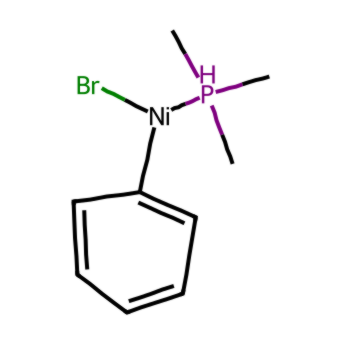 C[PH](C)(C)[Ni]([Br])[c]1ccccc1